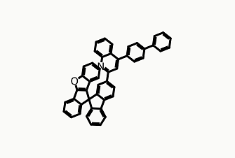 c1ccc(-c2ccc(-c3cc(-c4ccc5c(c4)C4(c6ccccc6-5)c5ccccc5-c5oc6ccccc6c54)nc4ccccc34)cc2)cc1